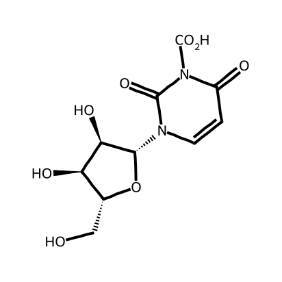 O=C(O)n1c(=O)ccn([C@@H]2O[C@H](CO)[C@@H](O)[C@H]2O)c1=O